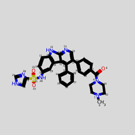 CN1CCN(C(=O)c2ccc(-c3cnc4[nH]c5ccc(NS(=O)(=O)c6c[nH]cn6)cc5c4c3-c3ccccc3)cc2)CC1